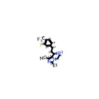 CCc1nc(C#N)c2n1CCNC2CCc1ccc(C(F)(F)F)c(F)c1